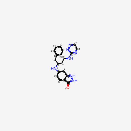 O=c1[nH][nH]c2cc(NC(CCNc3nccnn3)Cc3ccccc3)ccc12